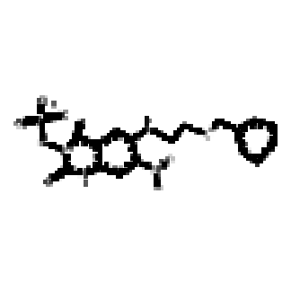 CS(=O)(=O)Nn1c(=O)[nH]c2cc([N+](=O)[O-])c(NCCOCc3ccccc3)cc2c1=O